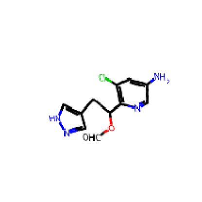 Nc1cnc(C(Cc2cn[nH]c2)OC=O)c(Cl)c1